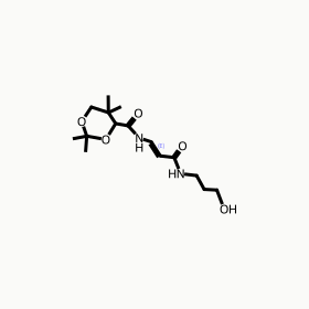 CC1(C)OCC(C)(C)C(C(=O)N/C=C/C(=O)NCCCO)O1